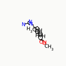 CCOC[C@@]1(O)CC[C@H]2[C@H](CC[C@@H]3[C@@H]2CC[C@]2(C)[C@@H](CCn4cc(C#N)cn4)CC[C@@H]32)C1